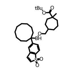 CC(C)(C)OC(=O)C1(C)CCCC(COBC2(c3ccc4c(c3)C=CS4(=O)=O)CCCCCCCCC2)CC1